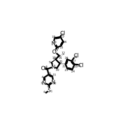 CSc1ncc(C(=O)N2C[C@@H]([C@@H](C)Oc3ccc(Cl)cn3)[C@H](c3ccc(Cl)c(Cl)c3)C2)cn1